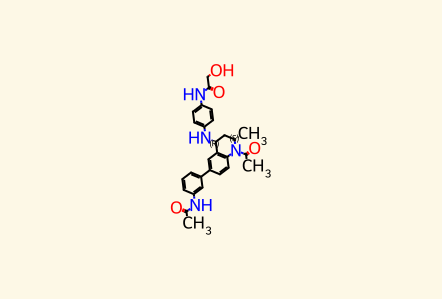 CC(=O)Nc1cccc(-c2ccc3c(c2)[C@H](Nc2ccc(NC(=O)CO)cc2)C[C@H](C)N3C(C)=O)c1